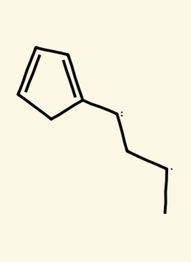 C[CH]C[C]C1=CC=CC1